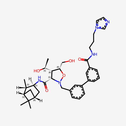 C[C@@H]1[C@@H](NC(=O)[C@@H]2[C@H]([C@H](C)O)[C@H](CO)ON2Cc2cccc(-c3cccc(C(=O)NCCCn4ccnc4)c3)c2)C[C@H]2C[C@@H]1C2(C)C